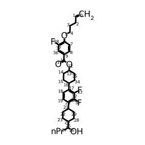 C=CCCCOc1ccc(C(=O)OC2CCC(c3ccc(C4CCC(C(O)CCC)CC4)c(F)c3F)CC2)cc1F